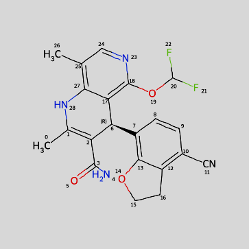 CC1=C(C(N)=O)[C@H](c2ccc(C#N)c3c2OCC3)c2c(OC(F)F)ncc(C)c2N1